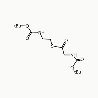 CC(C)(C)OC(=O)NCCSC(=O)CNC(=O)OC(C)(C)C